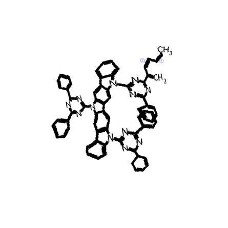 C=C(/C=C\C=C/C)c1nc(-c2ccccc2)nc(-n2c3ccccc3c3cc4c(cc32)c2cc3c(cc2n4-c2nc(-c4ccccc4)nc(-c4ccccc4)n2)c2ccccc2n3-c2nc(-c3ccccc3)nc(C3C=CC=CC3)n2)n1